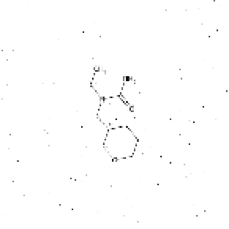 CCN(C[C@@H]1CCCOC1)C(N)=O